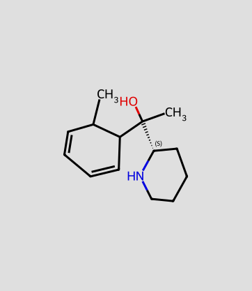 CC1C=CC=CC1C(C)(O)[C@@H]1CCCCN1